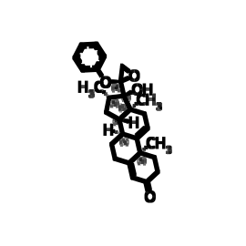 C[C@H]1C[C@H]2[C@@H]3CCC4=CC(=O)CC[C@]4(C)C3=CC[C@]2(C)[C@@]1(O)[C@]1(Oc2ccccc2)CO1